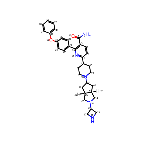 NC(=O)c1ccc(C2CCN(C3C[C@@H]4CN(C5CNC5)C[C@@H]4C3)CC2)nc1-c1ccc(Oc2ccccc2)cc1